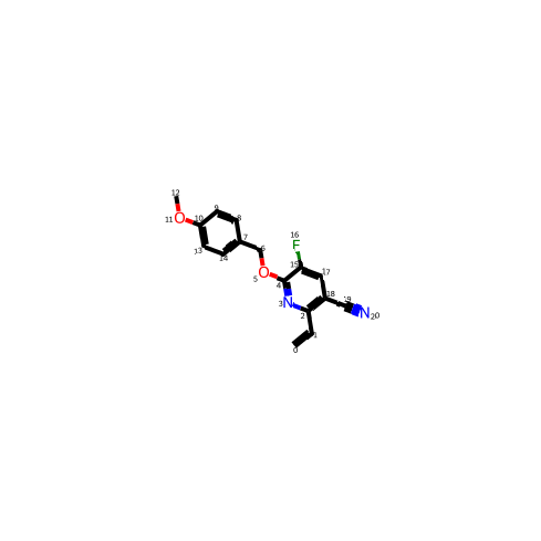 C=Cc1nc(OCc2ccc(OC)cc2)c(F)cc1C#N